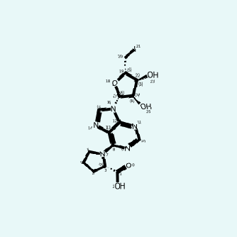 O=C(O)[C@@H]1CCCN1c1ncnc2c1ncn2[C@@H]1O[C@H](CI)[C@@H](O)[C@H]1O